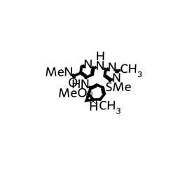 CNC(=O)c1cnc(Nc2cc(SC)nc(C)n2)cc1NC1=CC=CC(C)[C@H]2C[C@]12OC